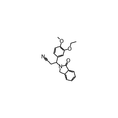 CCOc1cc(C(CC#N)N2Cc3ccccc3C2=O)ccc1OC